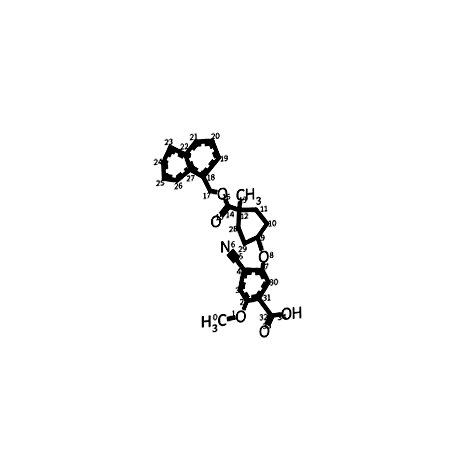 COc1cc(C#N)c(OC2CCC(C)(C(=O)OCc3cccc4ccccc34)CC2)cc1C(=O)O